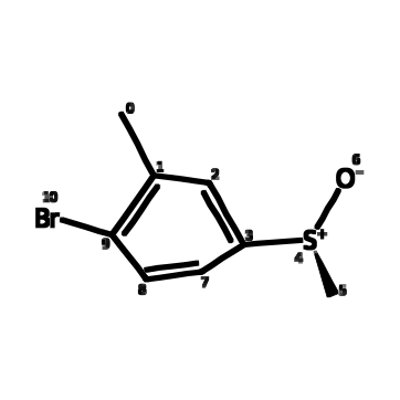 Cc1cc([S@+](C)[O-])ccc1Br